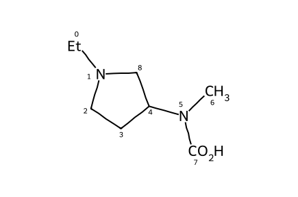 CCN1CCC(N(C)C(=O)O)C1